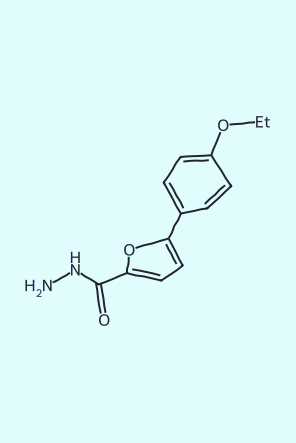 CCOc1ccc(-c2ccc(C(=O)NN)o2)cc1